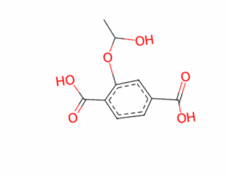 CC(O)Oc1cc(C(=O)O)ccc1C(=O)O